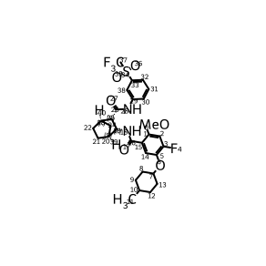 COc1cc(F)c(OC2CCC(C)CC2)cc1C(=O)N[C@@H]1[C@H]2CC[C@H](C2)[C@@H]1C(=O)Nc1cccc(S(=O)(=O)C(F)(F)F)c1